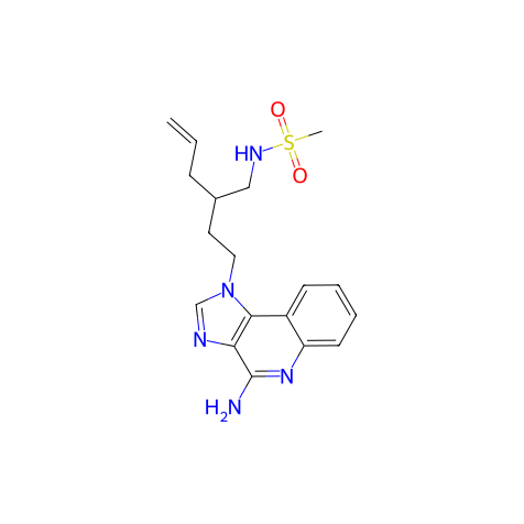 C=CCC(CCn1cnc2c(N)nc3ccccc3c21)CNS(C)(=O)=O